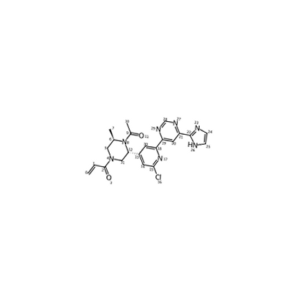 C=CC(=O)N1C[C@@H](C)N(C(C)=O)[C@H](c2cc(Cl)nc(-c3cc(-c4ncc[nH]4)ncn3)c2)C1